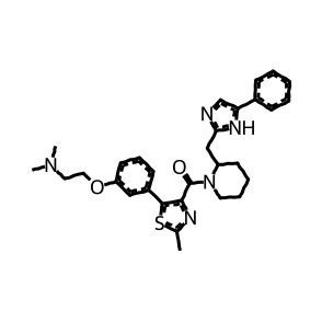 Cc1nc(C(=O)N2CCCCC2Cc2ncc(-c3ccccc3)[nH]2)c(-c2cccc(OCCN(C)C)c2)s1